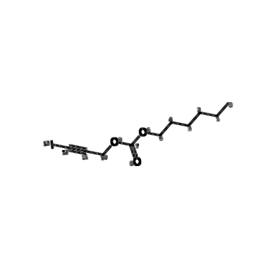 CCCCCCOC(=O)OCC#CI